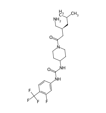 CC(C)C[C@H](CN)CC(=O)N1CCC(NC(=O)Nc2ccc(C(F)(F)F)c(F)c2)CC1